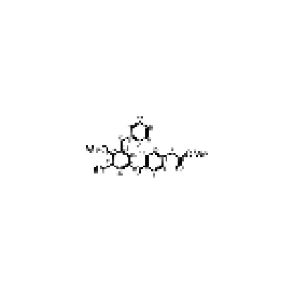 COC(=O)Cc1ccc(Oc2cc(Cc3ccccc3)c(OC)c(C(C)C)c2)cc1